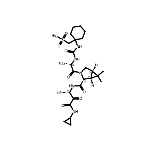 CCC[C@H](NC(=O)[C@@H]1[C@@H]2[C@H](CN1C(=O)[C@@H](NC(=O)NC1(CS(=O)(=O)C(C)(C)C)CCCCC1)C(C)(C)C)C2(C)C)C(=O)C(=O)NC1CC1